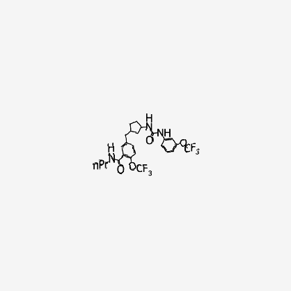 CCCNC(=O)c1cc(CC2CCC(NC(=O)Nc3cccc(OC(F)(F)F)c3)C2)ccc1OC(F)(F)F